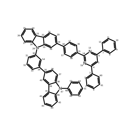 c1ccc(-c2cc(-c3ccccc3)nc(-c3ccc(-c4ccc5c6ccccc6n(-c6cccc(-c7ccc8c(c7)c7ccccc7n8-c7ccccc7)c6)c5c4)cc3)n2)cc1